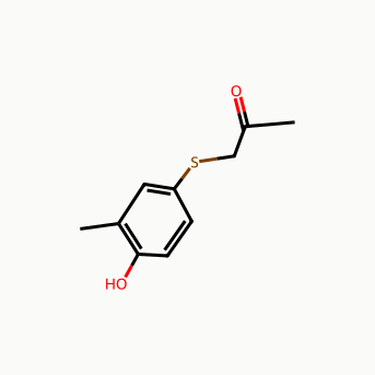 CC(=O)CSc1ccc(O)c(C)c1